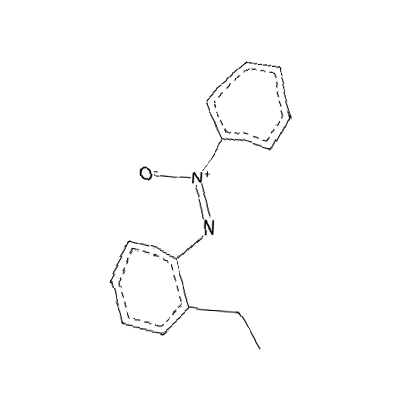 CCc1ccccc1N=[N+]([O-])c1ccccc1